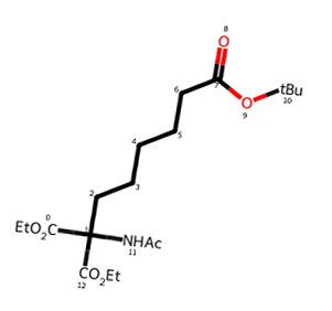 CCOC(=O)C(CCCCCC(=O)OC(C)(C)C)(NC(C)=O)C(=O)OCC